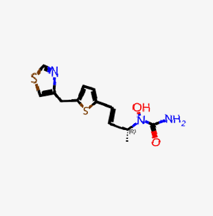 C[C@H](C=Cc1ccc(Cc2cscn2)s1)N(O)C(N)=O